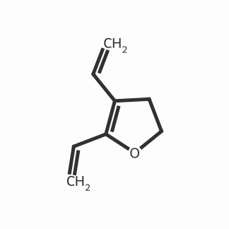 C=CC1=C(C=C)OCC1